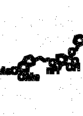 CCCc1c(OCCCc2ccc3cc(OC)c(OC)cc3c2)ccc(C(=O)OCc2ccccc2)c1O